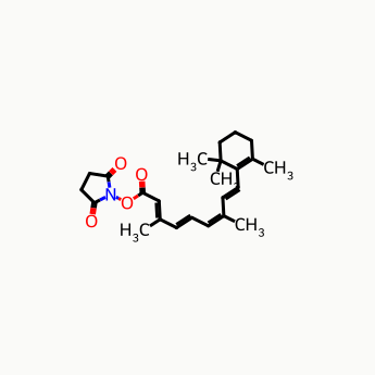 CC(C=C/C=C(/C)C=CC1=C(C)CCCC1(C)C)=CC(=O)ON1C(=O)CCC1=O